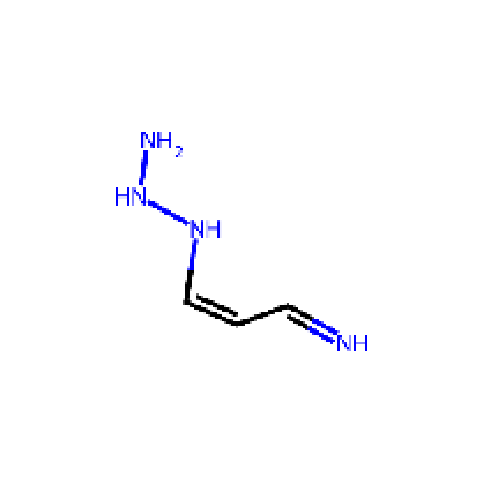 N=C/C=C\NNN